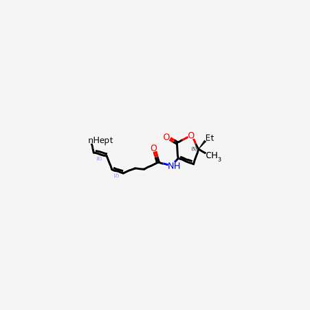 CCCCCCC/C=C/C=C\CCC(=O)NC1=C[C@](C)(CC)OC1=O